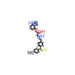 N#Cc1ccc(C(S)c2ccc(CCNC[C@H](O)COc3cccc4[nH]nnc34)cc2)cc1